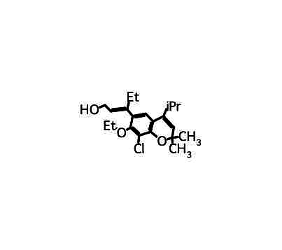 CCOc1c(C(=CCO)CC)cc2c(c1Cl)OC(C)(C)C=C2C(C)C